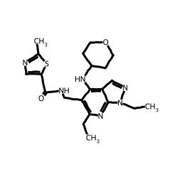 CCc1nc2c(cnn2CC)c(NC2CCOCC2)c1CNC(=O)c1cnc(C)s1